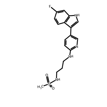 CS(=O)(=O)NCCCNc1ccc(-c2c[nH]c3cc(F)ccc23)cn1